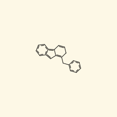 C1=CC2=c3ccccc3=CC2=C(Cc2ccccc2)C1